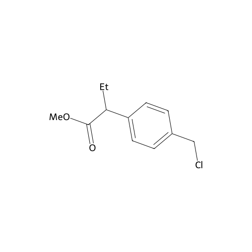 CCC(C(=O)OC)c1ccc(CCl)cc1